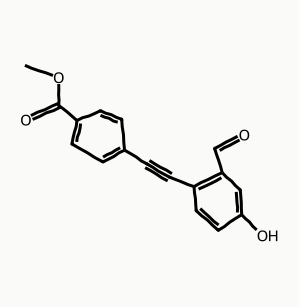 COC(=O)c1ccc(C#Cc2ccc(O)cc2C=O)cc1